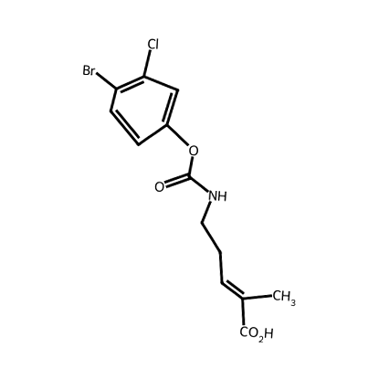 CC(=CCCNC(=O)Oc1ccc(Br)c(Cl)c1)C(=O)O